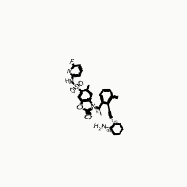 Cc1cc2c(cc1S(=O)(=O)Nc1cccc(F)n1)oc(=O)n2[C@H](C)c1cccc(C)c1C#C[C@@H]1CCCC[C@@H]1N